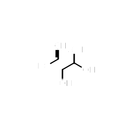 C=CC.CC(O)CO